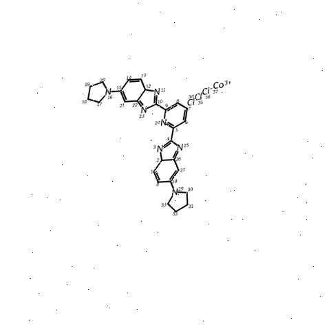 C1=CC2N=C(c3cccc(C4=NC5C=CC(N6CCCC6)=CC5=N4)n3)N=C2C=C1N1CCCC1.[Cl-].[Cl-].[Cl-].[Co+3]